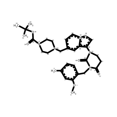 COc1cc(C)ccc1CN1C(=O)CCN(c2cnn3ccc(CN4CCN(C(=O)OC(C)(C)C)CC4)cc23)C1=O